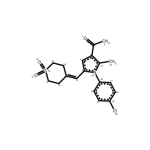 CC(=O)c1cc(C=C2CCS(=O)(=O)CC2)n(-c2ccc(Cl)cc2)c1C